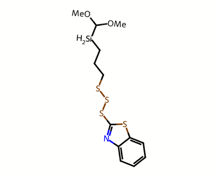 COC(OC)[SiH2]CCCSSSc1nc2ccccc2s1